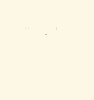 O[SH](O)Cc1ccccc1